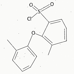 Cc1ccccc1Oc1c(C)cccc1S(=O)(=O)Cl